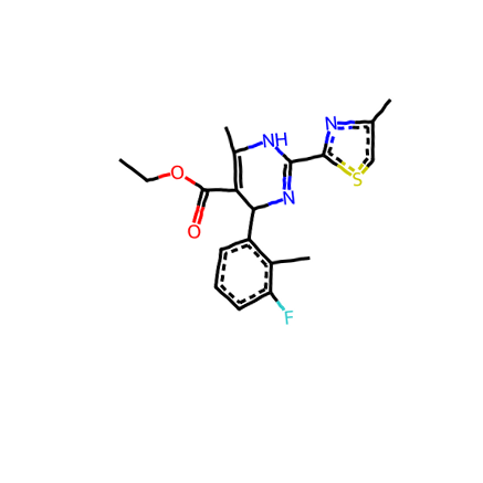 CCOC(=O)C1=C(C)NC(c2nc(C)cs2)=NC1c1cccc(F)c1C